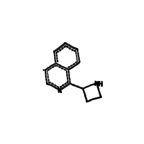 [c]1cnc(C2CCN2)c2ccccc12